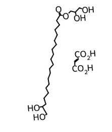 O=C(CCCCCCCCCCCCCCCCCCC(O)CO)OCC(O)CO.O=C(O)C=CC(=O)O